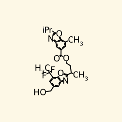 Cc1cc(C(=O)OCCC(C)c2nc3cc(CO)cc(C(C)(F)F)c3o2)cc2nc(C(C)C)oc12